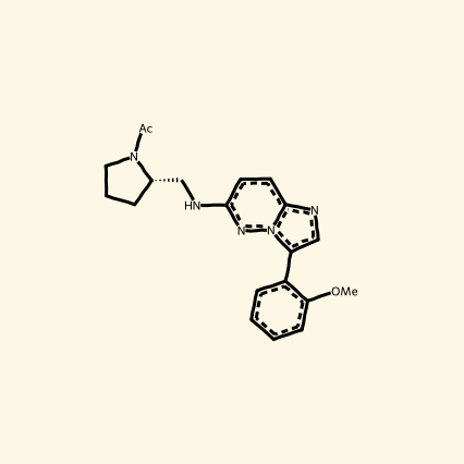 COc1ccccc1-c1cnc2ccc(NC[C@@H]3CCCN3C(C)=O)nn12